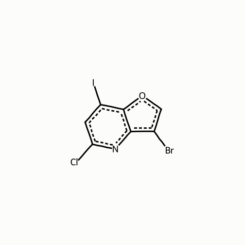 Clc1cc(I)c2occ(Br)c2n1